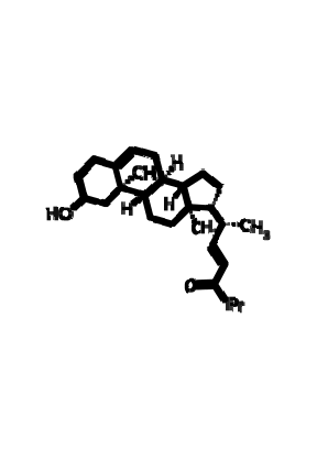 CC(C)C(=O)C=C[C@@H](C)[C@H]1CC[C@H]2[C@@H]3CC=C4CCC(O)C[C@]4(C)[C@H]3CC[C@]12C